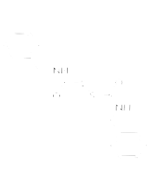 O=C(NCc1ccccc1)SSC(=O)NCc1ccccc1